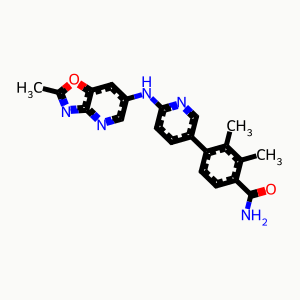 Cc1nc2ncc(Nc3ccc(-c4ccc(C(N)=O)c(C)c4C)cn3)cc2o1